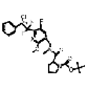 COc1nc(C(F)(F)[C@@H](Cl)c2ccccc2)c(F)cc1CN(C)C(=O)C1CCCN1C(=O)OC(C)(C)C